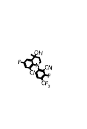 CC1(O)CCN(c2ccc(C(F)(F)F)c(F)c2C#N)c2c(C#N)cc(F)cc21